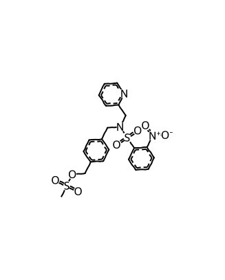 CS(=O)(=O)OCc1ccc(CN(Cc2ccccn2)S(=O)(=O)c2ccccc2[N+](=O)[O-])cc1